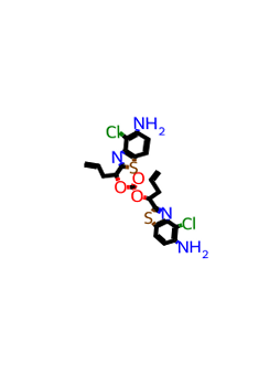 C=CCC(OC(=O)OC(CC=C)c1nc2c(Cl)c(N)ccc2s1)c1nc2c(Cl)c(N)ccc2s1